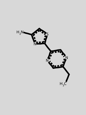 CCc1cnc(-c2nc(N)cs2)cn1